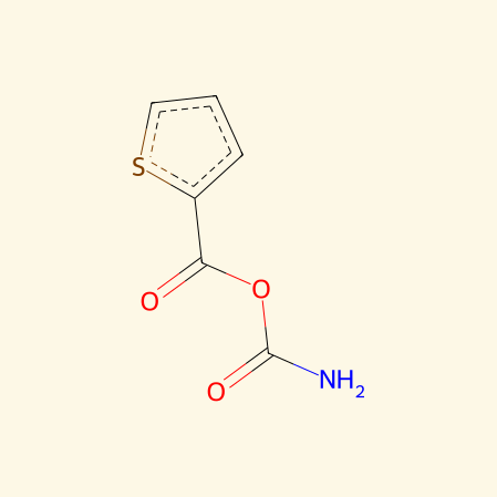 NC(=O)OC(=O)c1cccs1